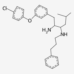 CC(C)CC(NCCCc1ccccc1)C(N)Cc1cccc(Oc2ccc(Cl)cc2)c1